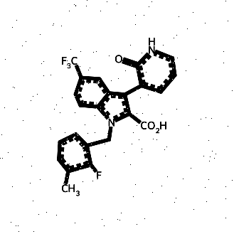 Cc1cccc(Cn2c(C(=O)O)c(-c3ccc[nH]c3=O)c3cc(C(F)(F)F)ccc32)c1F